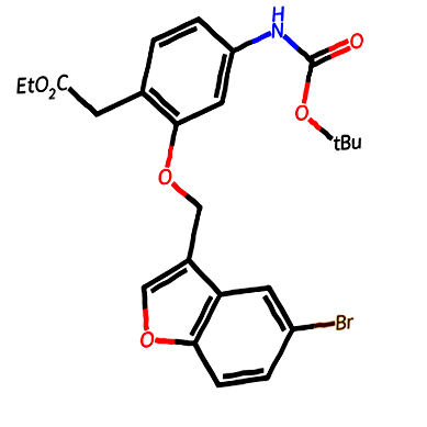 CCOC(=O)Cc1ccc(NC(=O)OC(C)(C)C)cc1OCc1coc2ccc(Br)cc12